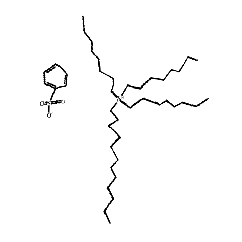 CCCCCCCCCCCC[N+](CCCCCCCC)(CCCCCCCC)CCCCCCCC.O=S(=O)([O-])c1ccccc1